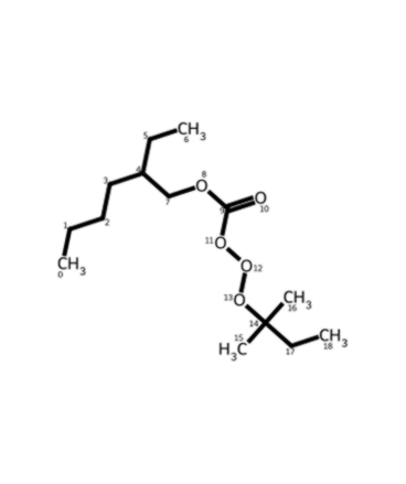 CCCCC(CC)COC(=O)OOOC(C)(C)CC